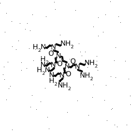 NCCN(CCN)C(=O)CN(CCCN(CC(=O)N(CCN)CCN)CC(=O)N(CCN)CCN)CC(=O)N(CCN)CCN